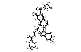 O=C(CCC(Nc1ncnc2cc(C(=O)N3CCCC3)c(Cl)cc12)c1nc2cc(Cl)ccc2[nH]1)N1CCOCC1